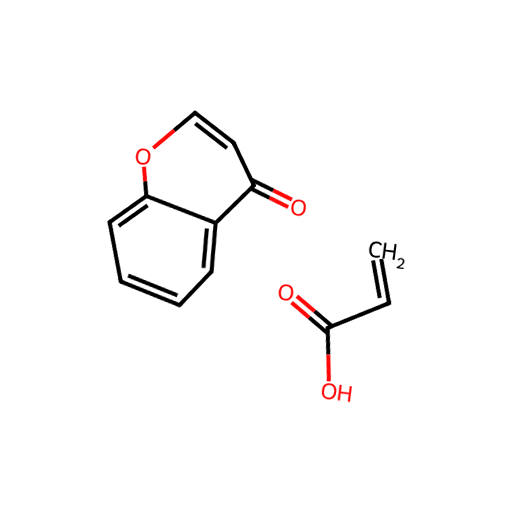 C=CC(=O)O.O=c1ccoc2ccccc12